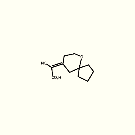 N#CC(C(=O)O)=C1CCOC2(CCCC2)C1